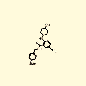 CSc1ccc(CNC(=O)c2cc([N+](=O)[O-])ccc2NC2CCC(O)CC2)cc1